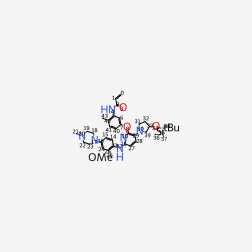 C=CC(=O)Nc1cc(Oc2nc(Nc3ccc(N4CCN(C)CC4)cc3OC)ccc2N2CCC(O[Si](C)(C)C(C)(C)C)C2)ccc1C